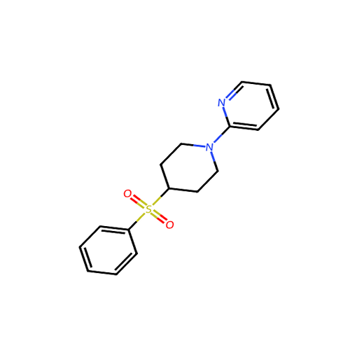 O=S(=O)(c1ccccc1)C1CCN(c2ccccn2)CC1